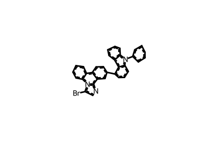 Brc1cnc2c3cc(-c4cccc5c4c4ccccc4n5-c4ccccc4)ccc3c3ccccc3n12